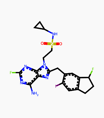 Nc1nc(F)nc2c1nc(Cc1cc3c(cc1I)CCC3F)n2CCS(=O)(=O)NC1CC1